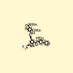 CNC(=O)c1cc(OC)c(NCC#Cc2cc(C(=O)N[C@H]3CCN(C4CCOCC4)C[C@@H]3C)c3ncn(CC(F)(F)F)c3c2)cc1F